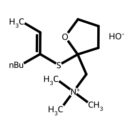 CC=C(CCCC)SC1(C[N+](C)(C)C)CCCO1.[OH-]